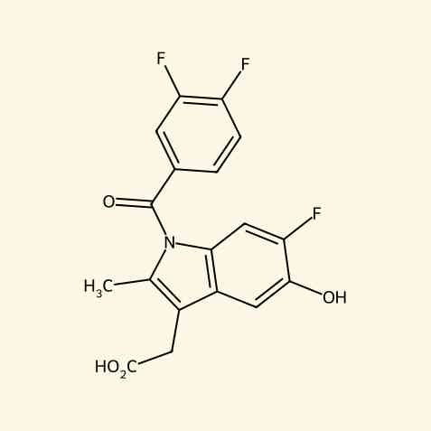 Cc1c(CC(=O)O)c2cc(O)c(F)cc2n1C(=O)c1ccc(F)c(F)c1